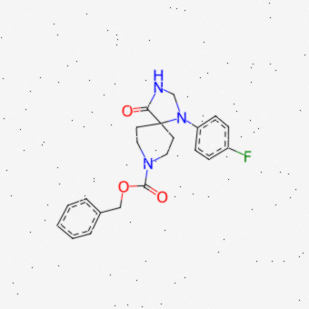 O=C(OCc1ccccc1)N1CCC2(CC1)C(=O)NCN2c1ccc(F)cc1